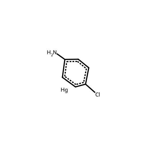 Nc1ccc(Cl)cc1.[Hg]